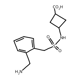 NCc1ccccc1CS(=O)(=O)NC1CC(C(=O)O)C1